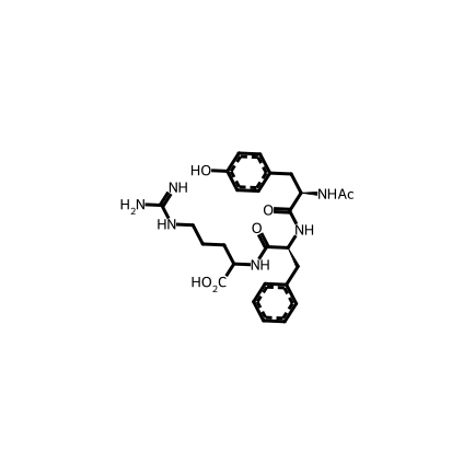 CC(=O)N[C@H](Cc1ccc(O)cc1)C(=O)N[C@@H](Cc1ccccc1)C(=O)NC(CCCNC(=N)N)C(=O)O